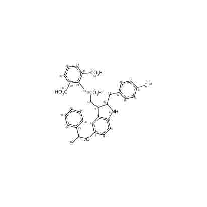 CC(Oc1ccc2c(c1)C(CC(=O)O)C(Cc1ccc(Cl)cc1)N2)c1ccccc1.Cc1c(C(=O)O)cccc1C(=O)O